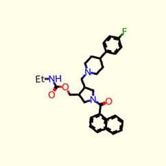 CCNC(=O)OCC1CN(C(=O)c2cccc3ccccc23)CC1CN1CCC(c2ccc(F)cc2)CC1